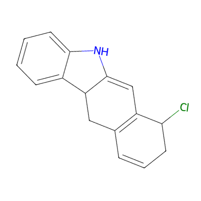 ClC1CC=CC2=C1C=C1Nc3ccccc3C1C2